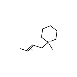 C/C=C/C[N+]1(C)CCCCC1